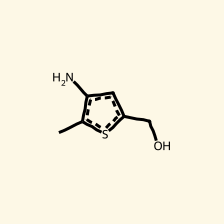 Cc1sc(CO)cc1N